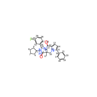 CC1(C(=O)NC2CCCC2)Cn2c(ccc2-c2ccccc2)C(=O)N1Cc1cccc(F)c1